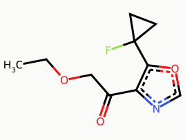 CCOCC(=O)c1ncoc1C1(F)CC1